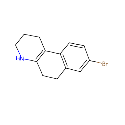 Brc1ccc2c(c1)CCC1=C2CCCN1